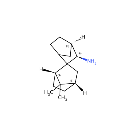 CC1(C)[C@H]2CC[C@@H]1C1(C2)C2CC[C@H](C2)[C@H]1N